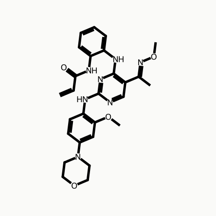 C=CC(=O)Nc1ccccc1Nc1nc(Nc2ccc(N3CCOCC3)cc2OC)ncc1C(C)=NOC